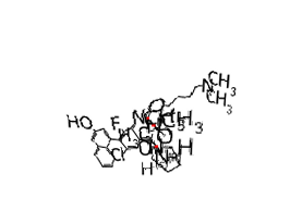 CN(C)CCCCOc1nc(N2C[C@H]3CC[C@@H](C2)N3C(=O)OC(C)(C)C)c2cc(Cl)c(-c3cc(O)cc4ccccc34)c(F)c2n1